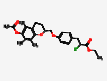 CCOC(=O)C(Cl)Cc1ccc(OCC2CCc3c(C)c(OC(C)=O)c(C)c(C)c3O2)cc1